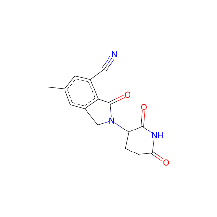 Cc1cc(C#N)c2c(c1)CN(C1CCC(=O)NC1=O)C2=O